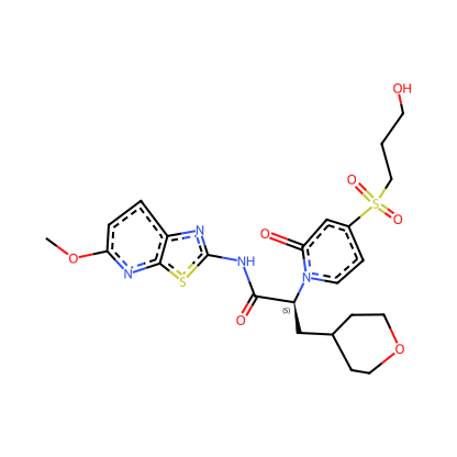 COc1ccc2nc(NC(=O)[C@H](CC3CCOCC3)n3ccc(S(=O)(=O)CCCO)cc3=O)sc2n1